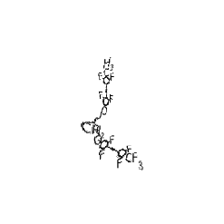 C=CC(CCCOc1cc(F)c(C#Cc2cc(F)c(C)c(F)c2)c(F)c1)CCCOc1cc(F)c(C#Cc2cc(F)c(C(F)(F)F)c(F)c2)c(F)c1